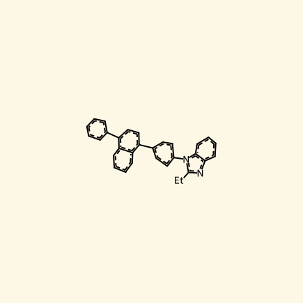 CCc1nc2ccccc2n1-c1ccc(-c2ccc(-c3ccccc3)c3ccccc23)cc1